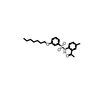 CCCCCCCOc1cccc(S(=O)(=O)Nc2ccc(C)cc2C(C)=O)c1